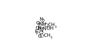 C[C@H]1CCOc2c1cc(F)c(-c1nc(C(=O)Nc3cnccc3[C@H]3C[C@@H](N)[C@H](O)[C@@H](C)C3)ccc1F)c2F